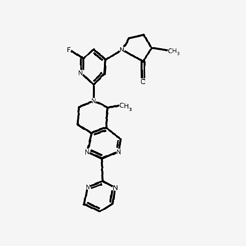 CC1CCN(c2cc(F)nc(N3CCc4nc(-c5ncccn5)ncc4C3C)c2)C1=O